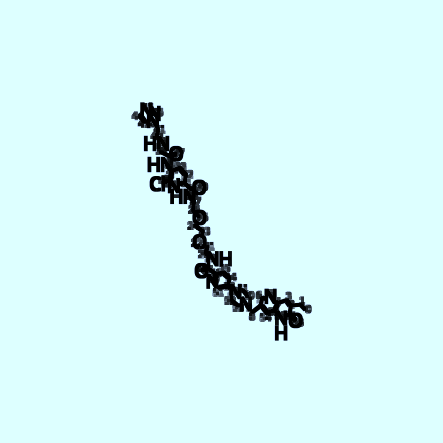 CCc1cc2ncc(CN3CCN(c4ccc(C(=O)NCCOCCOCCNC(=O)c5ccc(NC(=O)CNCCn6ccnn6)c(Cl)n5)nc4)CC3)cc2[nH]c1=O